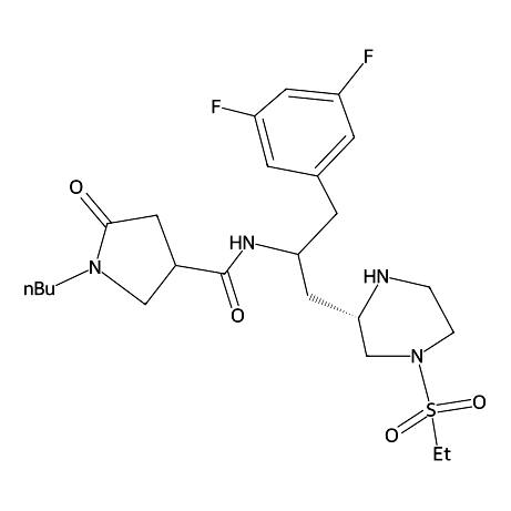 CCCCN1CC(C(=O)NC(Cc2cc(F)cc(F)c2)C[C@H]2CN(S(=O)(=O)CC)CCN2)CC1=O